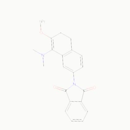 CCCOC1=C(N(C)C)c2cc(N3C(=O)c4ccccc4C3=O)ccc2CC1